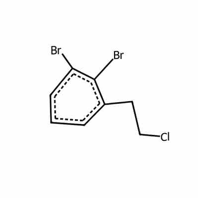 ClCCc1cccc(Br)c1Br